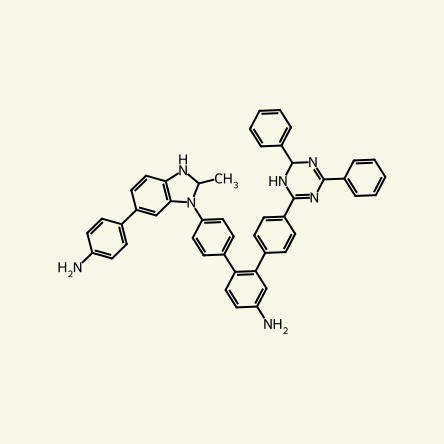 CC1Nc2ccc(-c3ccc(N)cc3)cc2N1c1ccc(-c2ccc(N)cc2-c2ccc(C3=NC(c4ccccc4)=NC(c4ccccc4)N3)cc2)cc1